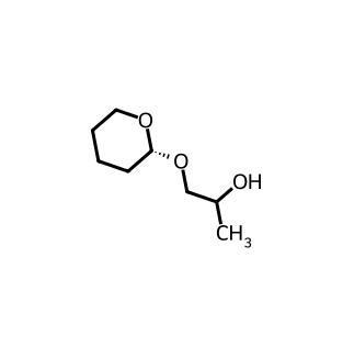 CC(O)CO[C@@H]1CCCCO1